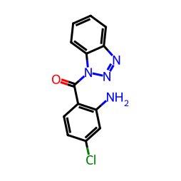 Nc1cc(Cl)ccc1C(=O)n1nnc2ccccc21